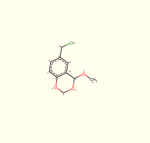 COC1OCOc2ccc(CCl)cc21